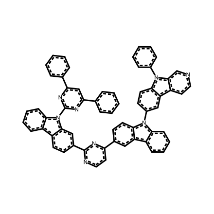 c1ccc(-c2cc(-c3ccccc3)nc(-n3c4ccccc4c4ccc(-c5nccc(-c6ccc7c(c6)c6ccccc6n7-c6ccc7c(c6)c6ccncc6n7-c6ccccc6)n5)cc43)n2)cc1